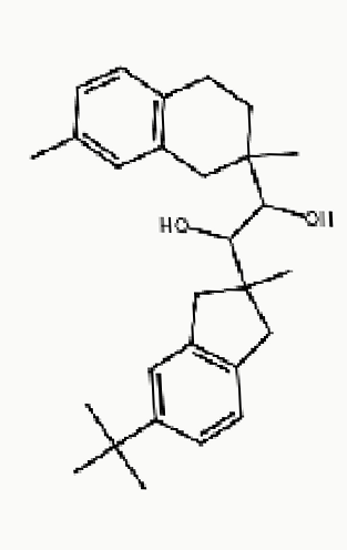 Cc1ccc2c(c1)CC(C)(C(O)C(O)C1(C)Cc3ccc(C(C)(C)C)cc3C1)CC2